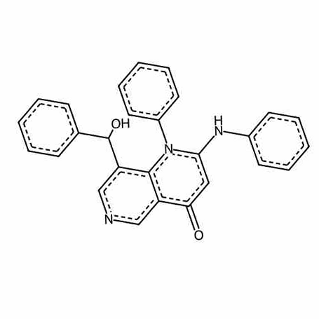 O=c1cc(Nc2ccccc2)n(-c2ccccc2)c2c(C(O)c3ccccc3)cncc12